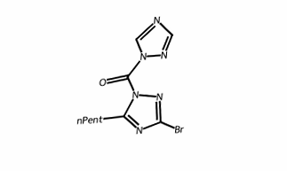 CCCCCc1nc(Br)nn1C(=O)n1cncn1